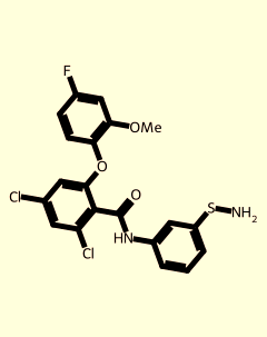 COc1cc(F)ccc1Oc1cc(Cl)cc(Cl)c1C(=O)Nc1cccc(SN)c1